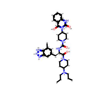 CCCN(CCC)C1CCN(C(=O)[C@@H](Cc2cc(C)c3[nH]nnc3c2)NC(=O)N2CCC(n3c(=O)[nH]c4ccccc4c3=O)CC2)CC1